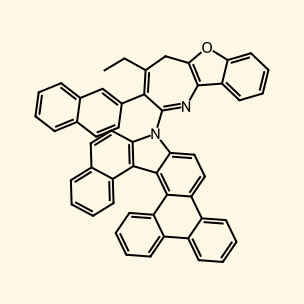 CCC1=C(c2ccc3ccccc3c2)C(n2c3ccc4ccccc4c3c3c4c5ccccc5c5ccccc5c4ccc32)=Nc2c(oc3ccccc23)C1